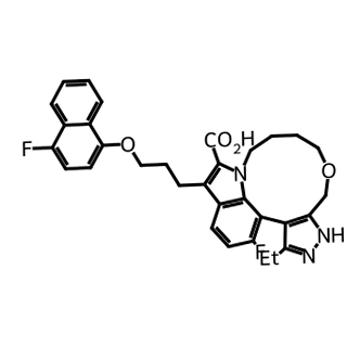 CCc1n[nH]c2c1-c1c(F)ccc3c(CCCOc4ccc(F)c5ccccc45)c(C(=O)O)n(c13)CCCCOC2